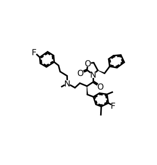 Cc1cc(C[C@@H](CCN(C)CCCc2ccc(F)cc2)C(=O)N2C(=O)OC[C@H]2Cc2ccccc2)cc(C)c1F